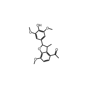 COc1cc(C2Oc3c(OC)ccc(C(C)=O)c3C2C)cc(OC)c1O